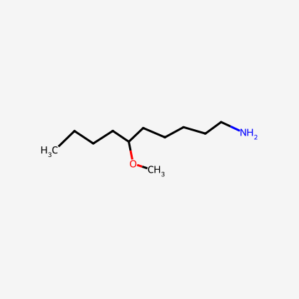 CCCCC(CCCCCN)OC